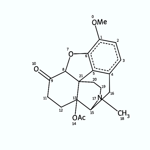 COc1ccc2c3c1OC1C(=O)CCC4(OC(C)=O)C(C2)N(C)CCC314